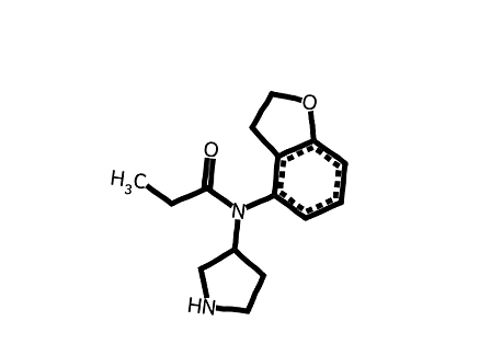 CCC(=O)N(c1cccc2c1CCO2)C1CCNC1